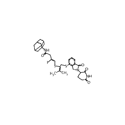 CC(C)=C(CSc1cccc2c1CN(C1CCC(=O)NC1=O)C2=O)S/C=C(\I)CC(=O)NC12CC3CC(CC(C3)C1)C2